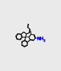 C=C/C=C\C1Cc2ccccc2C12c1ccccc1C1=CC(N)=CC(C)C12